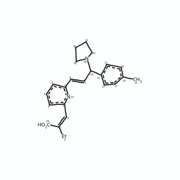 CCC(=Cc1cccc(C=CC(c2ccc(C)cc2)N2CCCC2)n1)C(=O)O